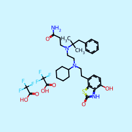 CC(C)(Cc1ccccc1)N(CCC(N)=O)CCN(CCc1ccc(O)c2[nH]c(=O)sc12)C1CCCCC1.O=C(O)C(F)(F)F.O=C(O)C(F)(F)F